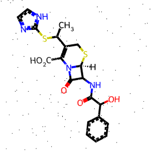 CC(Sc1ncc[nH]1)C1=C(C(=O)O)N2C(=O)C(NC(=O)C(O)c3ccccc3)[C@@H]2SC1